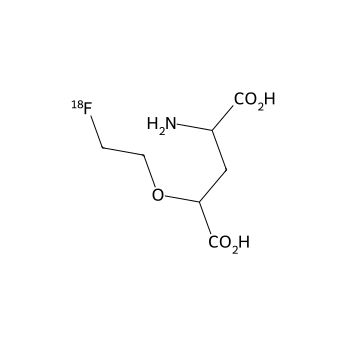 NC(CC(OCC[18F])C(=O)O)C(=O)O